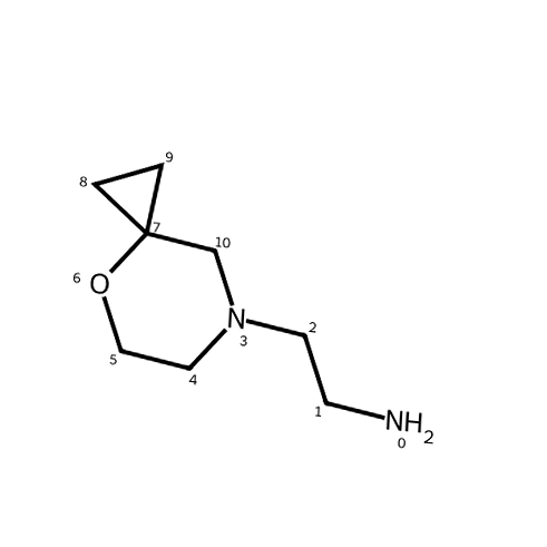 NCCN1CCOC2(CC2)C1